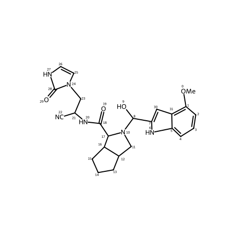 COc1cccc2[nH]c(C(O)N3CC4CCCC4C3C(=O)NC(C#N)Cn3cc[nH]c3=O)cc12